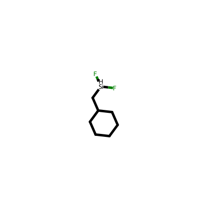 F[SiH](F)CC1CCCCC1